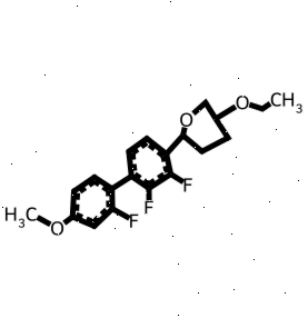 CCOC1CCC(c2ccc(-c3ccc(OC)cc3F)c(F)c2F)OC1